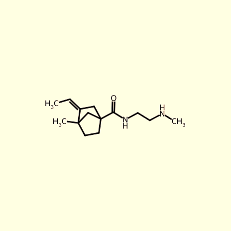 C/C=C1/CC2(C(=O)NCCNC)CCC1(C)C2